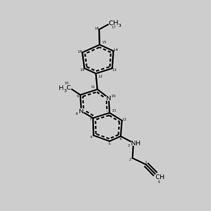 C#CCNc1ccc2nc(C)c(-c3ccc(CC)cc3)nc2c1